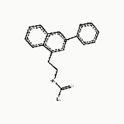 CCC(=O)NCCc1cc(-c2ccccc2)cc2ccccc12